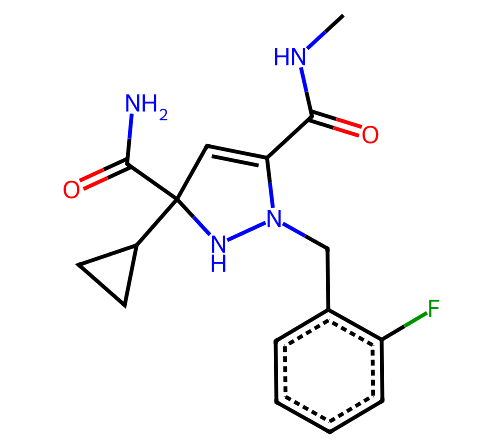 CNC(=O)C1=CC(C(N)=O)(C2CC2)NN1Cc1ccccc1F